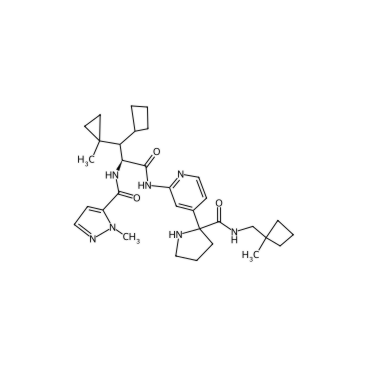 Cn1nccc1C(=O)N[C@H](C(=O)Nc1cc(C2(C(=O)NCC3(C)CCC3)CCCN2)ccn1)C(C1CCC1)C1(C)CC1